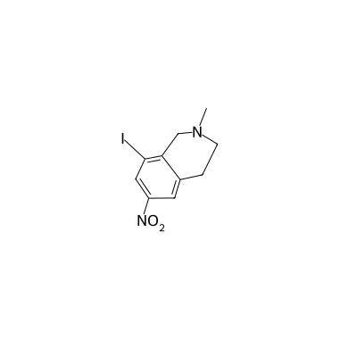 CN1CCc2cc([N+](=O)[O-])cc(I)c2C1